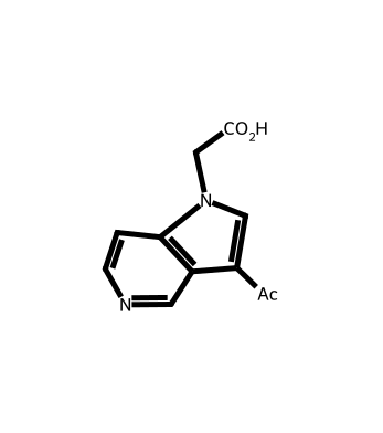 CC(=O)c1cn(CC(=O)O)c2ccncc12